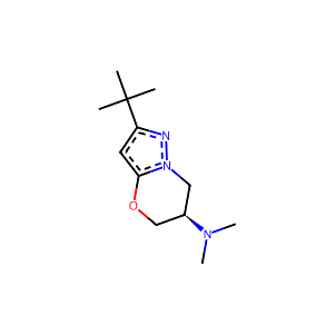 CN(C)[C@H]1COc2cc(C(C)(C)C)nn2C1